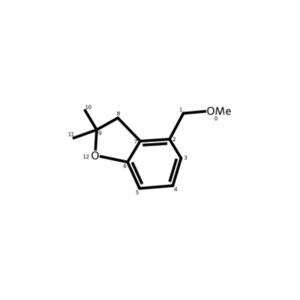 COCc1cccc2c1CC(C)(C)O2